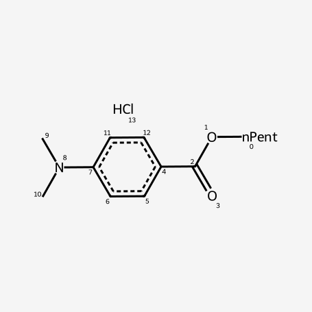 CCCCCOC(=O)c1ccc(N(C)C)cc1.Cl